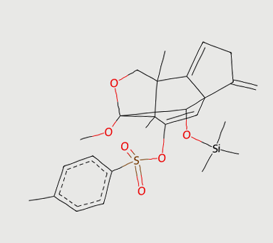 C=C1CC=C2C13C=C(OS(=O)(=O)c1ccc(C)cc1)C1(C)C2(C)COC1(OC)C3O[Si](C)(C)C